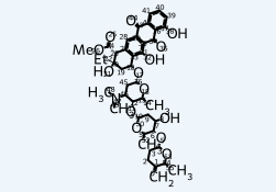 C=C1CC[C@H](O[C@H]2C(O)C[C@H](O[C@@H]3C(C)O[C@@H](O[C@H]4C[C@](O)(CC)[C@H](C(=O)OC)c5cc6c(c(O)c54)C(=O)c4c(O)cccc4C6=O)CC3N(C)C)OC2C)OC1C